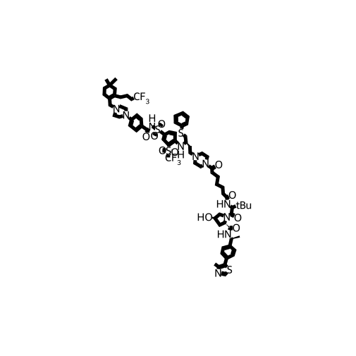 Cc1ncsc1-c1ccc([C@H](C)NC(=O)[C@@H]2C[C@@H](O)CN2C(=O)C(NC(=O)CCCCCC(=O)N2CCN(CC[C@H](CSc3ccccc3)Nc3ccc(S(=O)(=O)NC(=O)c4ccc(N5CCN(CC6=C(CCCC(F)(F)F)CC(C)(C)CC6)CC5)cc4)cc3S(=O)(=O)C(F)(F)F)CC2)C(C)(C)C)cc1